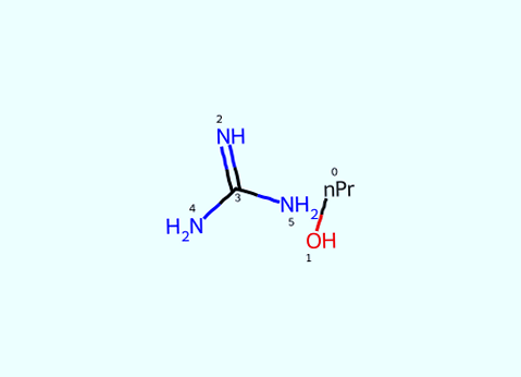 CCCO.N=C(N)N